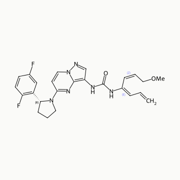 C=C/C=C(\C=C/COC)NC(=O)Nc1cnn2ccc(N3CCC[C@@H]3c3cc(F)ccc3F)nc12